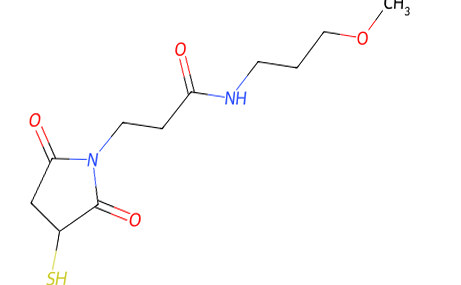 COCCCNC(=O)CCN1C(=O)CC(S)C1=O